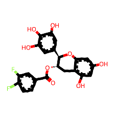 O=C(O[C@H]1Cc2c(O)cc(O)cc2O[C@@H]1c1cc(O)c(O)c(O)c1)c1ccc(F)c(F)c1